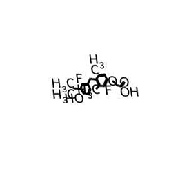 Cc1cc(OCC(=O)O)c(F)c(C)c1Cc1ccc(O)c(C(C)C)c1F